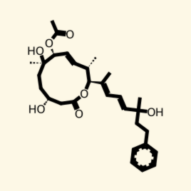 CC(=O)O[C@@H]1/C=C/[C@H](C)[C@@H](/C(C)=C/C=C/C(C)(O)CCc2ccccc2)OC(=O)C[C@H](O)CC[C@@]1(C)O